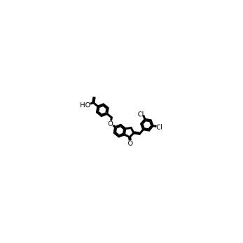 C=C(O)c1ccc(COc2ccc3c(c2)C/C(=C\c2cc(Cl)cc(Cl)c2)C3=O)cc1